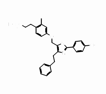 Cc1cc(OCc2sc(-c3ccc(C(F)(F)F)cc3)nc2CCc2ccccc2)ccc1CCC(=O)O